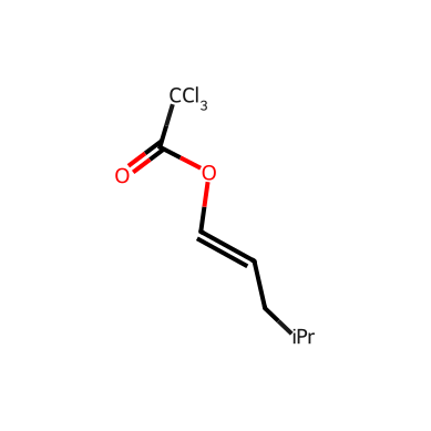 CC(C)CC=COC(=O)C(Cl)(Cl)Cl